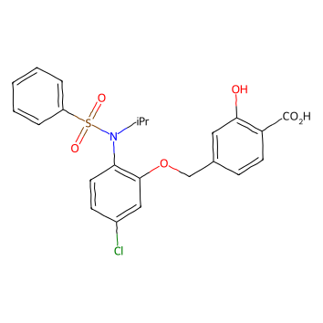 CC(C)N(c1ccc(Cl)cc1OCc1ccc(C(=O)O)c(O)c1)S(=O)(=O)c1ccccc1